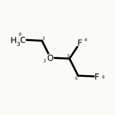 CCO[C](F)CF